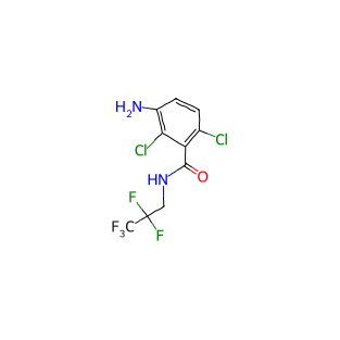 Nc1ccc(Cl)c(C(=O)NCC(F)(F)C(F)(F)F)c1Cl